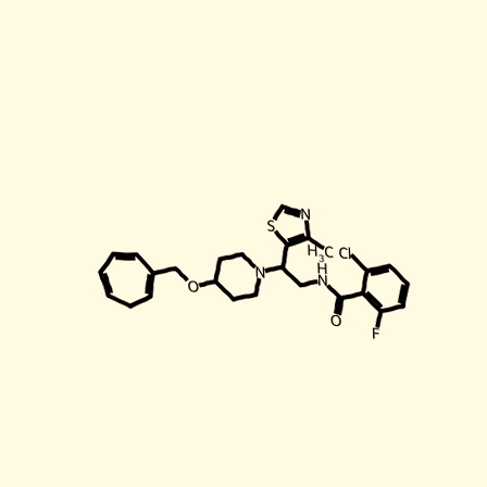 Cc1ncsc1C(CNC(=O)c1c(F)cccc1Cl)N1CCC(OCC2=CCC=CC=C2)CC1